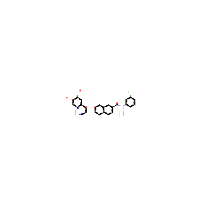 COc1cc2nccc(Oc3ccc4ccc(C(=O)Nc5cccc(Cl)c5)cc4c3)c2cc1OC